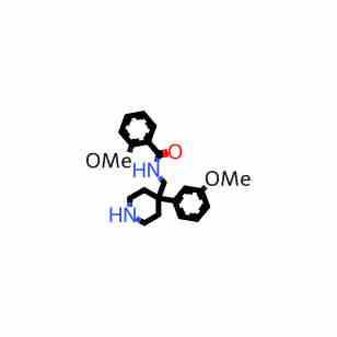 COc1cccc(C2(CNC(=O)c3ccccc3OC)CCNCC2)c1